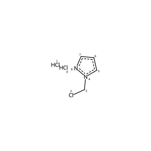 Cl.Cl.ClCn1cccn1